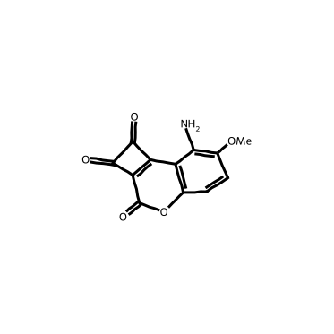 COc1ccc2oc(=O)c3c(=O)c(=O)c3c2c1N